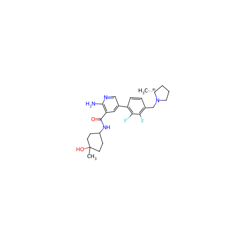 C[C@@H]1CCCN1Cc1ccc(-c2cnc(N)c(C(=O)NC3CCC(C)(O)CC3)c2)c(F)c1F